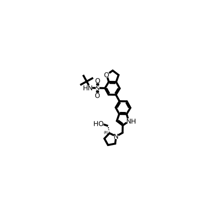 CC(C)(C)NS(=O)(=O)c1cc(-c2ccc3[nH]c(CN4CCC[C@@H]4CO)cc3c2)cc2c1OCC2